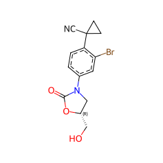 N#CC1(c2ccc(N3C[C@H](CO)OC3=O)cc2Br)CC1